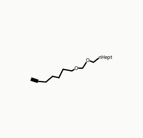 C#CCCCCCOCOCCCCCCCC